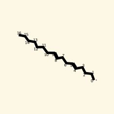 [CH2]CCC/C=C/CC/C=C/CCCCCCC